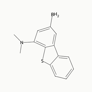 Bc1cc(N(C)C)c2sc3ccccc3c2c1